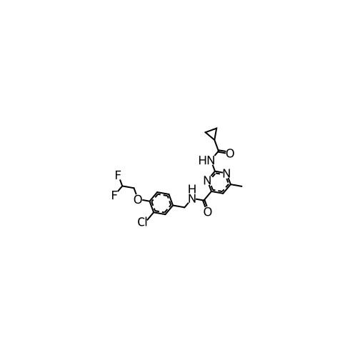 Cc1cc(C(=O)NCc2ccc(OCC(F)F)c(Cl)c2)nc(NC(=O)C2CC2)n1